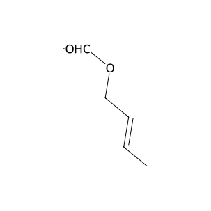 C/C=C/CO[C]=O